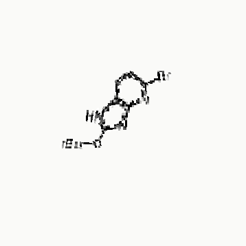 CC(C)(C)Oc1nc2nc(Br)ccc2[nH]1